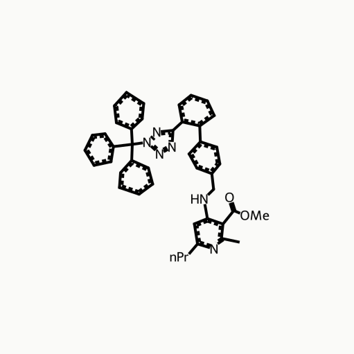 CCCc1cc(NCc2ccc(-c3ccccc3-c3nnn(C(c4ccccc4)(c4ccccc4)c4ccccc4)n3)cc2)c(C(=O)OC)c(C)n1